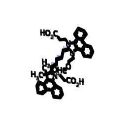 CC1(C)C(/C=C/C=C/C=C2\N(CCOC=O)c3c(c4ccccc4c4ccccc34)N2CCC(=O)O)=[N+](CCC(=O)O)c2c1c1ccccc1c1ccccc21